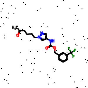 CC(=O)CCCCn1cc(NC(=O)OCc2cccc(C(F)(F)F)c2)cn1